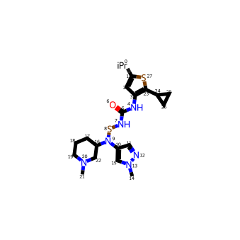 CC(C)c1cc(NC(=O)NSN(c2cnn(C)c2)C2CCCN(C)C2)c(C2CC2)s1